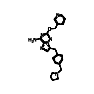 Nc1nc(OCc2cccnc2)nn2c(Cc3ccc(CN4CCCC4)cc3)cnc12